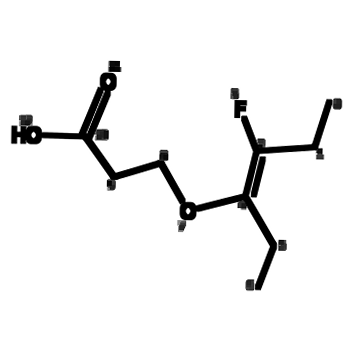 CC/C(F)=C(\CC)OCCC(=O)O